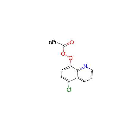 CCCC(=O)OOc1ccc(Cl)c2cccnc12